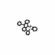 c1ccc(-c2c3ccccc3c(-c3nc4ccccc4n3-c3ccccc3)c3ccccc23)cc1